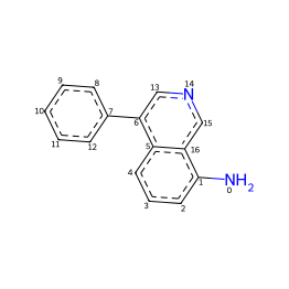 Nc1cccc2c(-c3ccccc3)cncc12